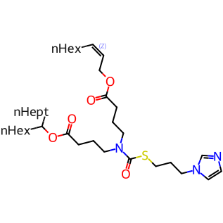 CCCCCC/C=C\COC(=O)CCCN(CCCC(=O)OC(CCCCCC)CCCCCCC)C(=O)SCCCn1ccnc1